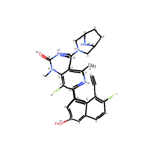 C#Cc1c(F)ccc2cc(O)cc(-c3nc(OC)c4c(N5CC6CCC(C5)N6)nc(=O)n(C)c4c3F)c12